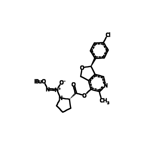 Cc1ncc2c(c1OC(=O)[C@@H]1CCCN1/[N+]([O-])=N/OCC(C)C)CO[C@H]2c1ccc(Cl)cc1